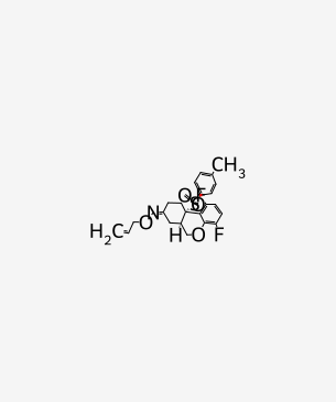 C=CCO/N=C1/CC[C@@]2(S(=O)(=O)c3ccc(C)cc3)c3c(F)ccc(F)c3OC[C@H]2C1